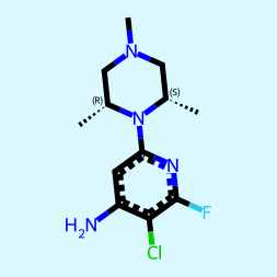 C[C@@H]1CN(C)C[C@H](C)N1c1cc(N)c(Cl)c(F)n1